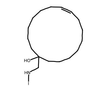 OC1(CNI)CCCCCCC=CCCCCCCC1